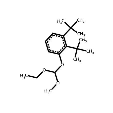 CCOC(OC)Oc1cc[c]c(C(C)(C)C)c1C(C)(C)C